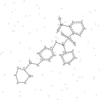 O=[N+]([O-])c1ccccc1S(=O)(=O)N(Cc1ccc(COC2CCCCO2)cc1)c1ccccc1